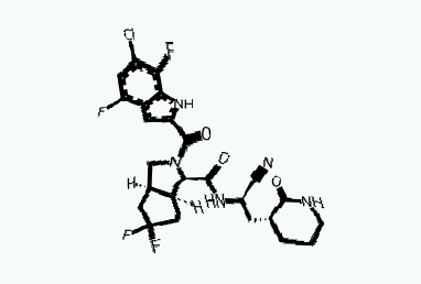 N#C[C@@H](C[C@H]1CCCNC1=O)NC(=O)[C@H]1[C@H]2CC(F)(F)C[C@H]2CN1C(=O)c1cc2c(F)cc(Cl)c(F)c2[nH]1